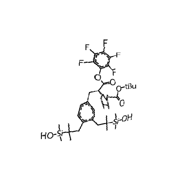 CC(C)(C)OC(=O)NC(Cc1ccc(CC(C)(C)[Si](C)(C)O)c(CC(C)(C)[Si](C)(C)O)c1)C(=O)Oc1c(F)c(F)c(F)c(F)c1F